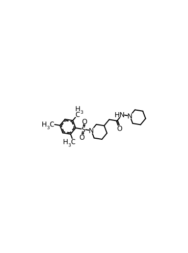 Cc1cc(C)c(S(=O)(=O)N2CCCC(CC(=O)NN3CCCCC3)C2)c(C)c1